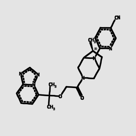 C[C@H]1CC2CN(C(=O)COC(C)(C)c3cccc4ncnn34)CC1N2c1ccc(C#N)cn1